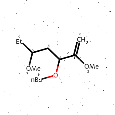 C=C(OC)C(CC(CC)OC)OCCCC